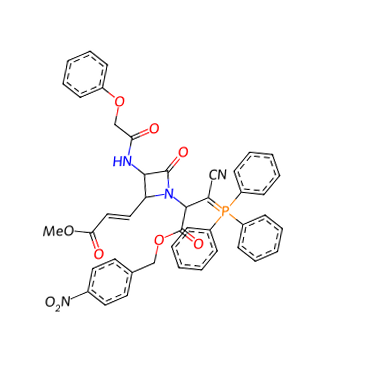 COC(=O)C=CC1C(NC(=O)COc2ccccc2)C(=O)N1C(C(=O)OCc1ccc([N+](=O)[O-])cc1)C(C#N)=P(c1ccccc1)(c1ccccc1)c1ccccc1